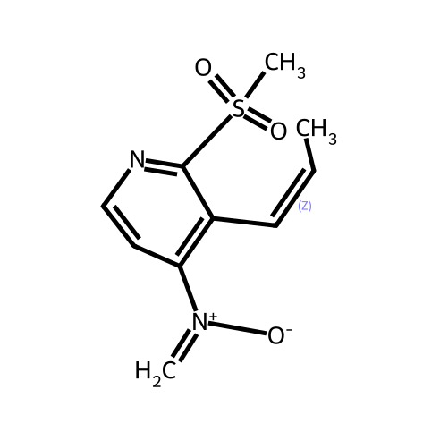 C=[N+]([O-])c1ccnc(S(C)(=O)=O)c1/C=C\C